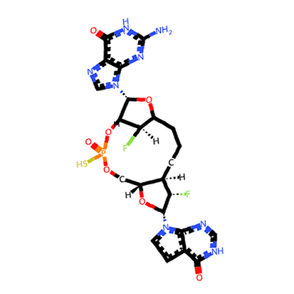 Nc1nc2c(ncn2[C@@H]2OC3CCC[C@H]4[C@H](F)[C@H](n5ccc6c(=O)[nH]cnc65)O[C@@H]4COP(=O)(S)O[C@@H]2[C@@H]3F)c(=O)[nH]1